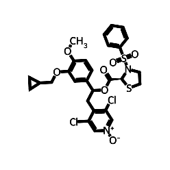 COc1ccc(C(Cc2c(Cl)c[n+]([O-])cc2Cl)OC(=O)[C@@H]2SCCN2S(=O)(=O)c2ccccc2)cc1OCC1CC1